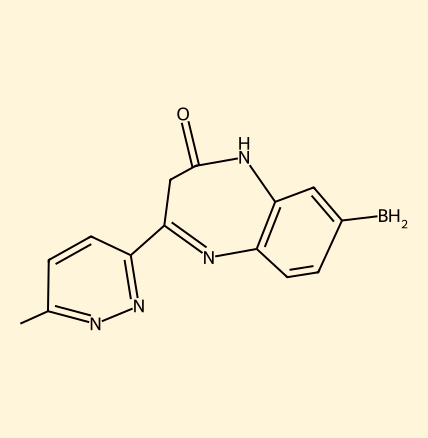 Bc1ccc2c(c1)NC(=O)CC(c1ccc(C)nn1)=N2